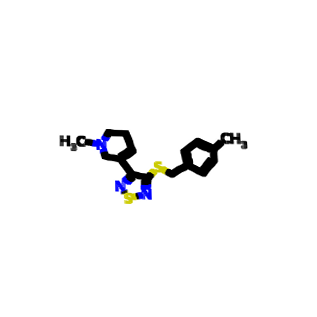 Cc1ccc(CSc2nsnc2C2=CCCN(C)C2)cc1